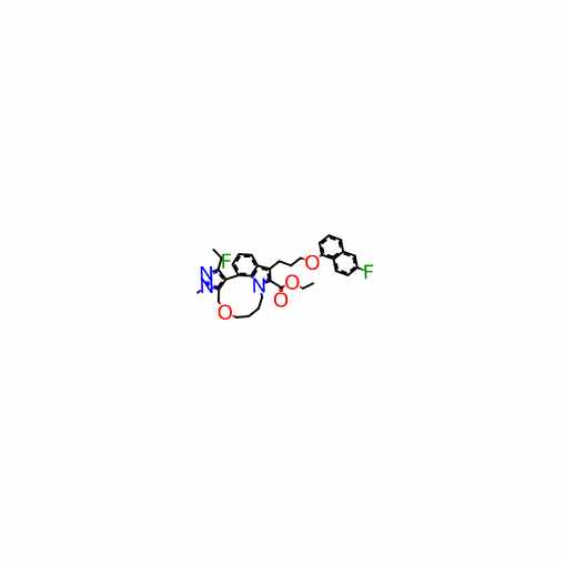 CCOC(=O)c1c(CCCOc2cccc3cc(F)ccc23)c2ccc(F)c3c2n1CCCCOCc1c-3c(CC)nn1C